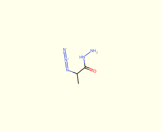 CC(N=[N+]=[N-])C(=O)NN